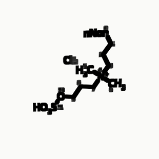 CCCCCCCCCCCC[N+](C)(C)CCCOS(=O)(=O)O.[Cl-]